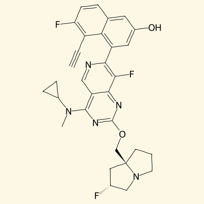 C#Cc1c(F)ccc2cc(O)cc(-c3ncc4c(N(C)C5CC5)nc(OC[C@@]56CCCN5C[C@H](F)C6)nc4c3F)c12